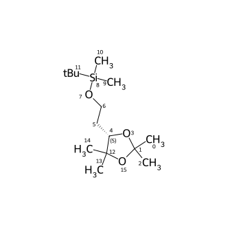 CC1(C)O[C@@H](CCO[Si](C)(C)C(C)(C)C)C(C)(C)O1